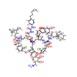 CCCCc1ccc(NC(=O)NC(=O)C[C@@H]2CC(=O)[C@H](NC(=O)[C@H](CC)CC(C)C)[C@H](O)c3ccc(c(Cl)c3)Oc3cc4cc(c3O[C@@H]3O[C@H](CN)[C@@H](O)[C@H](O)[C@H]3O)Oc3ccc(cc3Cl)[C@@H](O)[C@@H]3NC(=O)[C@H](CC(=O)[C@@H]4NC2=O)c2ccc(O)c(c2)-c2c(O)cc(O)cc2[C@@H](C(=O)CC2C4CC5CC(C4)CC2C5)NC3=O)cc1